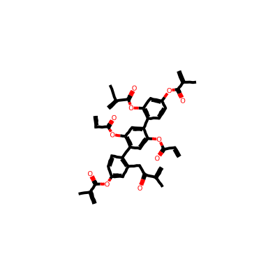 C=CC(=O)Oc1cc(-c2ccc(OC(=O)C(=C)C)cc2OC(=O)C(=C)C)c(OC(=O)C=C)cc1-c1ccc(OC(=O)C(=C)C)cc1CC(=O)C(=C)C